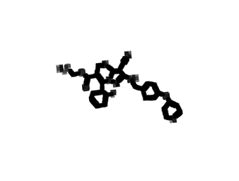 CCOC(=O)c1cnc2c(C#N)c(NCc3ccc(Oc4ccncc4)cc3)nn2c1-c1ccccc1F